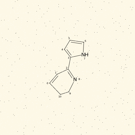 C1=CC(c2ccc[nH]2)=NCC1